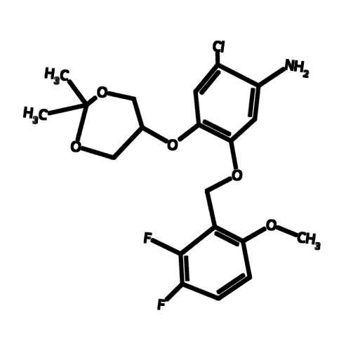 COc1ccc(F)c(F)c1COc1cc(N)c(Cl)cc1OC1COC(C)(C)OC1